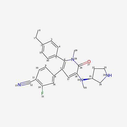 CCc1ccc(-c2c(-c3ccc(C#N)c(F)c3)cc(N(C)[C@H]3CCNC3)c(=O)n2C)cc1